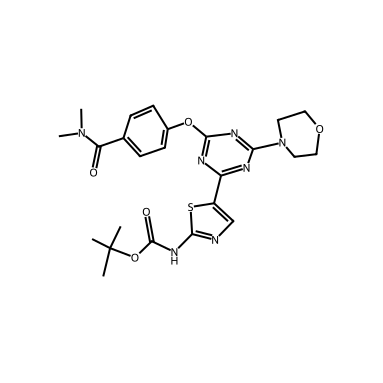 CN(C)C(=O)c1ccc(Oc2nc(-c3cnc(NC(=O)OC(C)(C)C)s3)nc(N3CCOCC3)n2)cc1